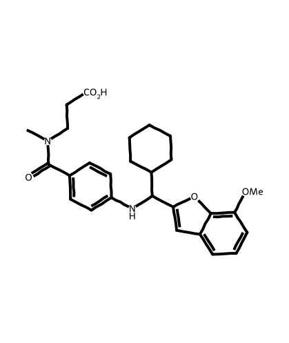 COc1cccc2cc(C(Nc3ccc(C(=O)N(C)CCC(=O)O)cc3)C3CCCCC3)oc12